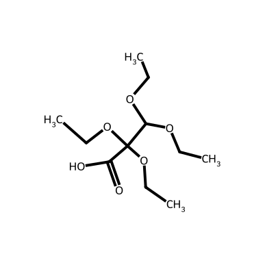 CCOC(OCC)C(OCC)(OCC)C(=O)O